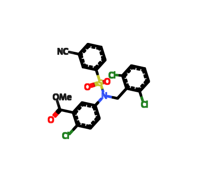 COC(=O)c1cc(N(Cc2c(Cl)cccc2Cl)S(=O)(=O)c2cccc(C#N)c2)ccc1Cl